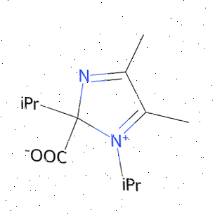 CC1=NC(C(=O)[O-])(C(C)C)[N+](C(C)C)=C1C